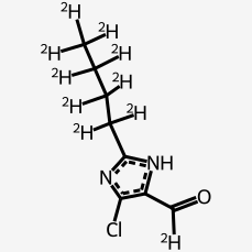 [2H]C(=O)c1[nH]c(C([2H])([2H])C([2H])([2H])C([2H])([2H])C([2H])([2H])[2H])nc1Cl